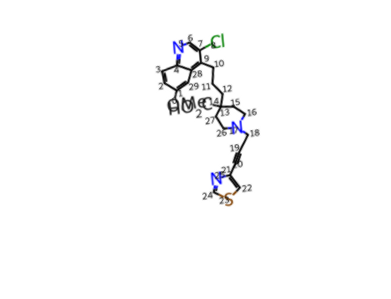 COc1ccc2ncc(Cl)c(CCCC3(C(=O)O)CCN(CC#Cc4cscn4)CC3)c2c1